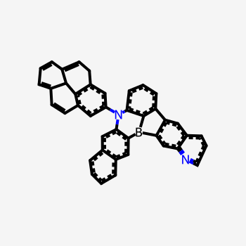 C1=CC2=CCc3cc(N4c5cc6ccccc6cc5B5c6cc7ncccc7cc6-c6cccc4c65)cc4c3C2C(=C1)C=C4